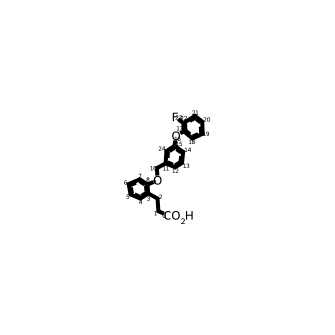 O=C(O)CCc1ccccc1OCc1cccc(Oc2ccccc2F)c1